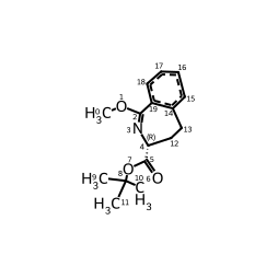 COC1=N[C@@H](C(=O)OC(C)(C)C)CCc2ccccc21